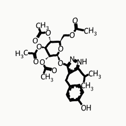 CC(=O)OC[C@H]1O[C@@H](Oc2n[nH]c(C(C)C)c2Cc2ccc(O)cc2)[C@H](OC(C)=O)[C@@H](OC(C)=O)[C@@H]1OC(C)=O